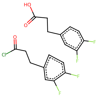 O=C(Cl)CCc1ccc(F)c(F)c1.O=C(O)CCc1ccc(F)c(F)c1